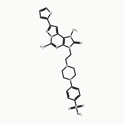 Cn1c(=O)n(CCN2CCN(c3ccc(S(N)(=O)=O)cc3)CC2)c2nc(N)n3nc(-c4ccco4)cc3c21